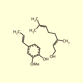 CC(C)=CCCC(C)=CCO.CC=Cc1ccc(O)c(OC)c1